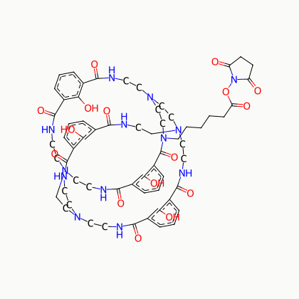 O=C(CCCCCN1CCN2CCNC(=O)c3cccc(c3O)C(=O)NCCN(CCNC(=O)c3cccc(c3O)C1=O)CCN1CCNC(=O)c3cccc(c3O)C(=O)NCCN(CCNC(=O)c3cccc(c3O)C(=O)NCC1)CC2)ON1C(=O)CCC1=O